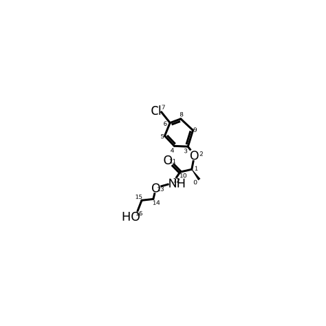 C[C@H](Oc1ccc(Cl)cc1)C(=O)NOCCO